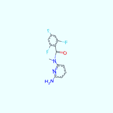 CN(C(=O)c1c(F)cc(F)cc1F)c1cccc(N)n1